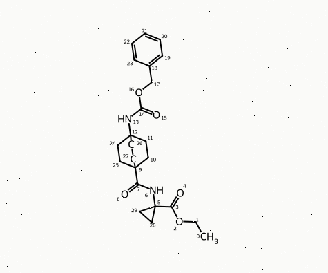 CCOC(=O)C1(NC(=O)C23CCC(NC(=O)OCc4ccccc4)(CC2)CC3)CC1